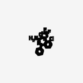 NC1N=C(c2ccccc2)c2cccc(Cl)c2N(CC(F)(F)F)C1=O